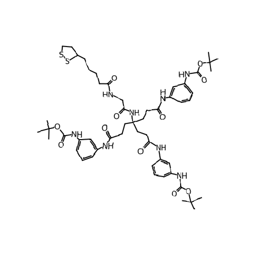 CC(C)(C)OC(=O)Nc1cccc(NC(=O)CCC(CCC(=O)Nc2cccc(NC(=O)OC(C)(C)C)c2)(CCC(=O)Nc2cccc(NC(=O)OC(C)(C)C)c2)NC(=O)CNC(=O)CCCCC2CCSS2)c1